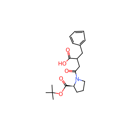 CC(C)(C)OC(=O)[C@@H]1CCCN1C(=O)CC(Cc1ccccc1)C(=O)O